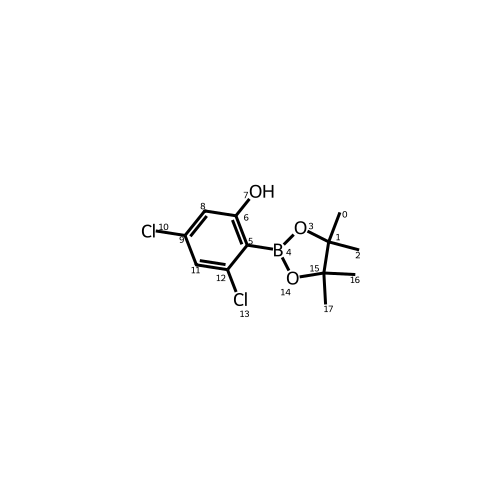 CC1(C)OB(c2c(O)cc(Cl)cc2Cl)OC1(C)C